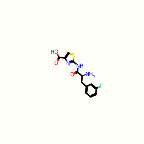 N[C@@H](Cc1cccc(F)c1)C(=O)Nc1nc(C(=O)O)cs1